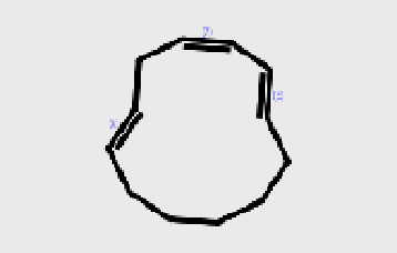 [CH]1C/C=C/C/C=C\C=C\CCC1